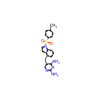 Cc1ccc(S(=O)(=O)n2ccc3c(Cc4cnc(N)nc4N)cccc32)cc1